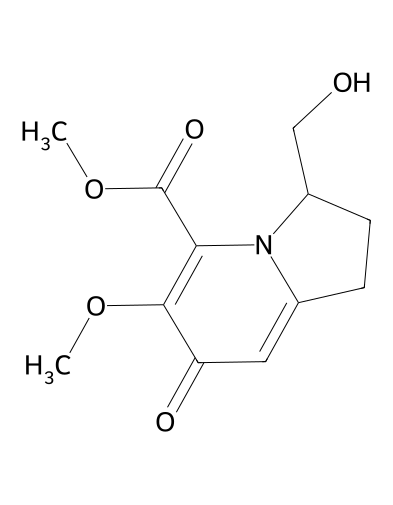 COC(=O)c1c(OC)c(=O)cc2n1C(CO)CC2